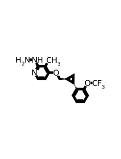 Cc1c(OC[C@H]2C[C@@H]2c2ccccc2OC(F)(F)F)ccnc1NN